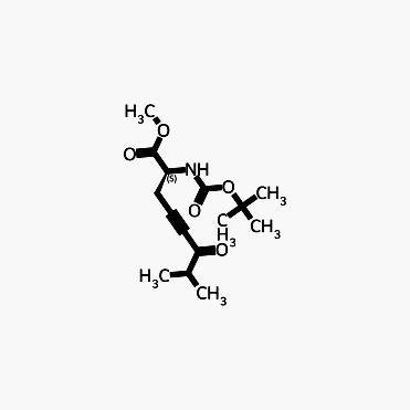 COC(=O)[C@H](CC#CC(=O)C(C)C)NC(=O)OC(C)(C)C